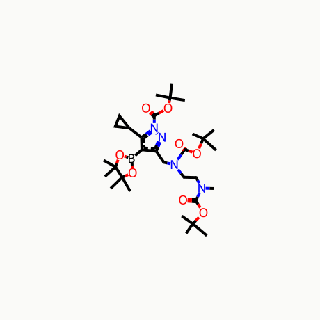 CN(CCN(Cc1nn(C(=O)OC(C)(C)C)c(C2CC2)c1B1OC(C)(C)C(C)(C)O1)C(=O)OC(C)(C)C)C(=O)OC(C)(C)C